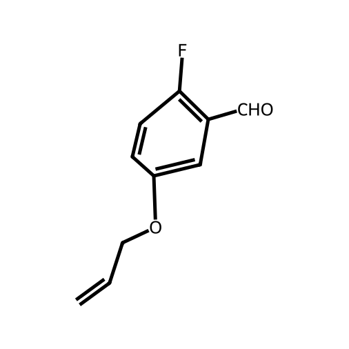 C=CCOc1ccc(F)c(C=O)c1